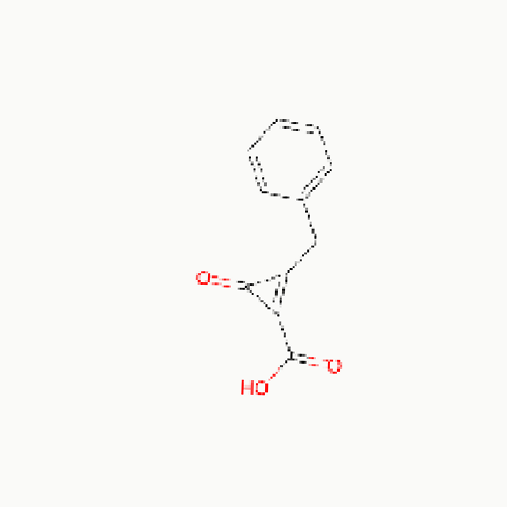 O=C(O)c1c(Cc2ccccc2)c1=O